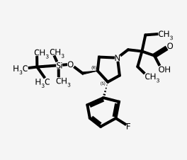 CCC(CC)(CN1C[C@H](CO[Si](C)(C)C(C)(C)C)[C@@H](c2cccc(F)c2)C1)C(=O)O